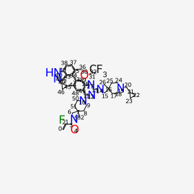 C=C(F)C(=O)N1CC2(CCN(c3nc(N4CC5(CCN(CC6CC6)CC5)C4)nc4c(OCC(F)(F)F)c(-c5c(C)ccc6[nH]ncc56)c(C5CC5)cc34)CC2)C1